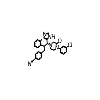 Cc1ccccc1C(Cc1ccc(C#N)cc1)C(c1cnc[nH]1)N1CCN(c2cccc(Cl)c2)C(=O)C1